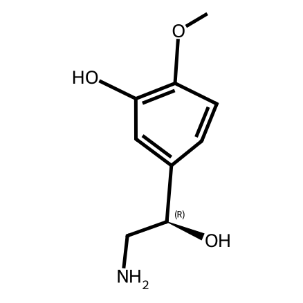 COc1ccc([C@@H](O)CN)cc1O